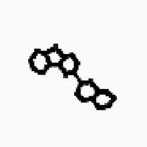 c1ccc2nc(-c3ccc4oc5ccccc5c4n3)ccc2c1